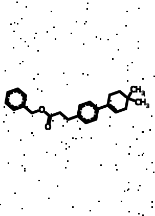 CC1(C)CC=C(c2ccc(CCC(=O)OCc3ccccc3)cc2)CC1